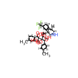 Cc1ccc(C(=O)C(O)(C(=O)O)C(O)(C(=O)O)C(=O)c2ccc(C)cc2)cc1.FC(F)(F)c1ccc2c(c1)[C@H]1CNC[C@@H]2C1